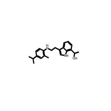 Cc1cc(C(C)C)ccc1NCCc1c[nH]c2c(C(C)O)cccc12